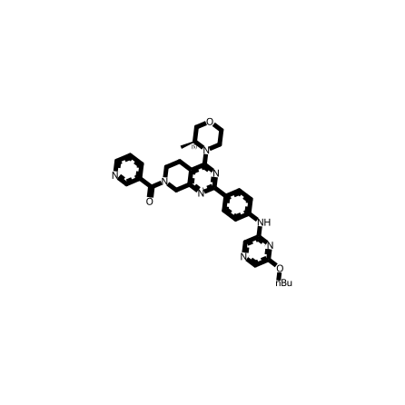 CCCCOc1cncc(Nc2ccc(-c3nc4c(c(N5CCOC[C@@H]5C)n3)CCN(C(=O)c3cccnc3)C4)cc2)n1